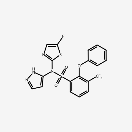 O=S(=O)(c1cccc(C(F)(F)F)c1Oc1ccccc1)N(c1ccn[nH]1)c1ncc(F)s1